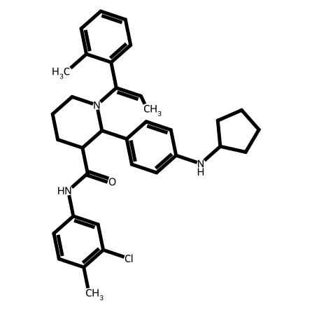 C/C=C(/c1ccccc1C)N1CCCC(C(=O)Nc2ccc(C)c(Cl)c2)C1c1ccc(NC2CCCC2)cc1